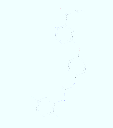 CNC(=O)c1cc(Oc2ccc(NC(=O)Nc3cc(Cl)ccc3F)cc2)ccn1